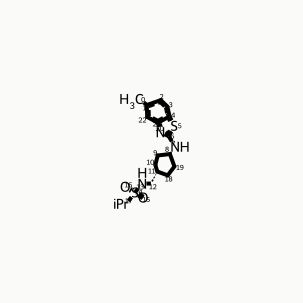 Cc1ccc2sc(N[C@H]3CC[C@@H](CNS(=O)(=O)C(C)C)CC3)nc2c1